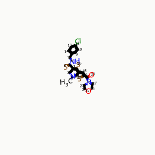 Cn1cc(C(=S)NCc2ccc(Cl)cc2)c(=S)c2cc(C(=O)N3CCOCC3)sc21